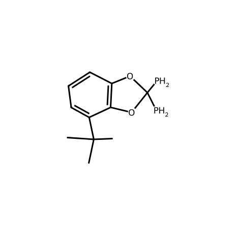 CC(C)(C)c1cccc2c1OC(P)(P)O2